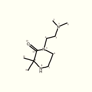 CN(C)CCN1CCNC(C)(C)C1=O